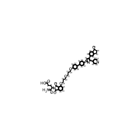 NC(=O)C(CCC(=O)O)N1C(=O)c2cccc(OCCCOCCCOc3ccc(-c4ccc(-n5cc(-c6ccc7c(c6)CCC7=O)c(-c6ccncc6)n5)cc4)cc3)c2C1=O